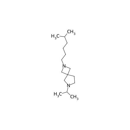 CC(C)CCCCN1CC2(CCN(C(C)C)C2)C1